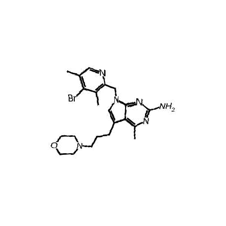 Cc1cnc(Cn2cc(CCCN3CCOCC3)c3c(C)nc(N)nc32)c(C)c1Br